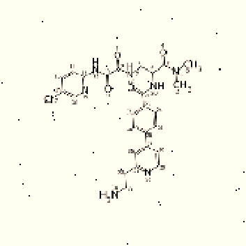 CN(C)C(=O)C(CNC(=O)C(=O)Nc1ccc(Cl)cn1)NC(=O)c1ccc(-c2ccnc(CCN)c2)cc1